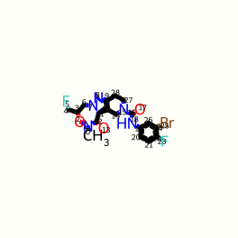 CN1OC(CF)Cn2nc3c(c2C1=O)CN(C(=O)Nc1ccc(F)c(Br)c1)CC3